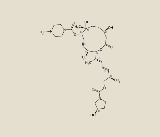 C/C(=C\C=C\[C@@H](C)COC(=O)N1CC[C@@H](O)C1)[C@H]1OC(=O)C[C@H](O)CC[C@@](C)(O)[C@@H](OC(=O)N2CCN(C)CC2)/C=C/[C@@H]1C